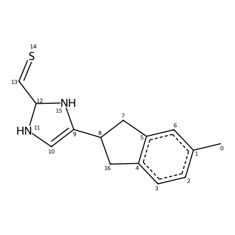 Cc1ccc2c(c1)CC(C1=CNC(C=S)N1)C2